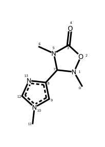 CN1OC(=O)N(C)C1c1cn(C)cn1